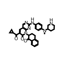 CN(c1ccc(Nc2ncc3cc(C(=O)C4CC4)c(=O)n(C4CCc5ccccc5C4=O)c3n2)cc1)C1CCCNC1